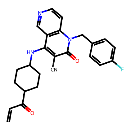 C=CC(=O)C1CCC(Nc2c(C#N)c(=O)n(Cc3ccc(F)cc3)c3ccncc23)CC1